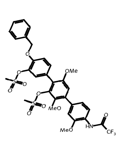 COc1cc(-c2cc(OC)c(-c3ccc(OCc4ccccc4)c(OS(C)(=O)=O)c3)c(OS(C)(=O)=O)c2OC)ccc1NC(=O)C(F)(F)F